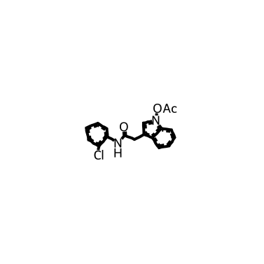 CC(=O)On1cc(CC(=O)Nc2ccccc2Cl)c2ccccc21